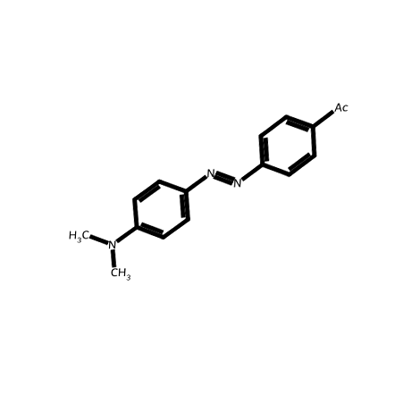 CC(=O)c1ccc(/N=N/c2ccc(N(C)C)cc2)cc1